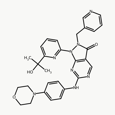 CC(C)(O)c1cccc(-n2c3nc(Nc4ccc(N5CCOCC5)cc4)ncc3c(=O)n2Cc2cccnc2)n1